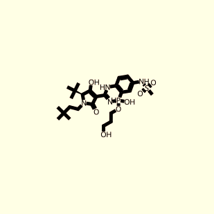 CC(C)(C)CCN1C(=O)C(C2=N[PH](O)(OCCCO)c3cc(NS(C)(=O)=O)ccc3N2)=C(O)[C@@H]1C(C)(C)C